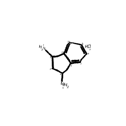 Cl.NC1CC(N)c2ccccc21